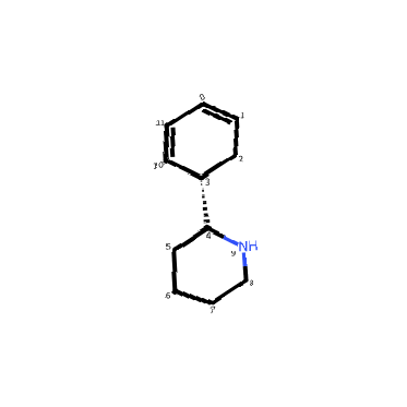 C1=CC[C@H](C2CCCCN2)C=C1